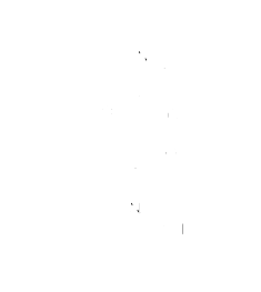 CN1CCCC(OC(N)=O)C1=O